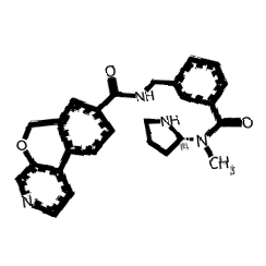 CN(C(=O)c1cccc(CNC(=O)c2ccc3c(c2)COc2cnccc2-3)c1)[C@@H]1CCCN1